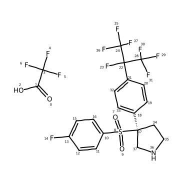 O=C(O)C(F)(F)F.O=S(=O)(c1ccc(F)cc1)[C@@]1(c2ccc(C(F)(C(F)(F)F)C(F)(F)F)cc2)CCNC1